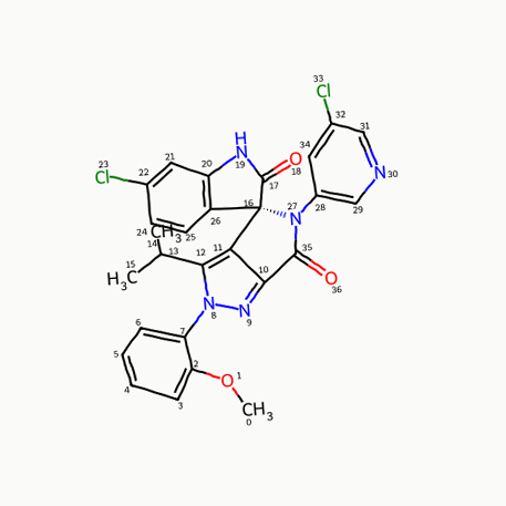 COc1ccccc1-n1nc2c(c1C(C)C)[C@@]1(C(=O)Nc3cc(Cl)ccc31)N(c1cncc(Cl)c1)C2=O